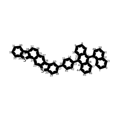 c1ccc2c(-c3c4ccccc4c(-c4ccc(-c5ccc6sc7cc8c(ccc9c%10ccccc%10sc89)cc7c6c5)cc4)c4ccccc34)cccc2c1